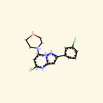 Clc1cccc(-c2cc3nc(Cl)cc(N4CCOCC4)n3n2)c1